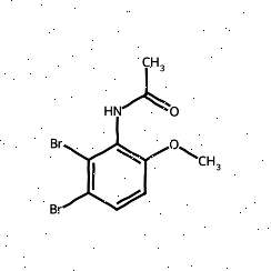 COc1ccc(Br)c(Br)c1NC(C)=O